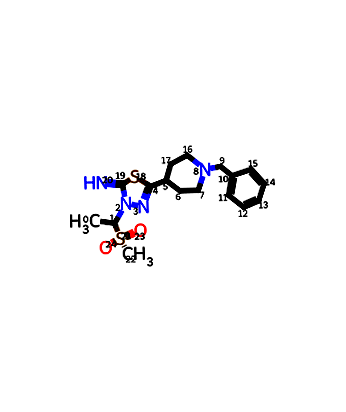 CC(n1nc(C2CCN(Cc3ccccc3)CC2)sc1=N)S(C)(=O)=O